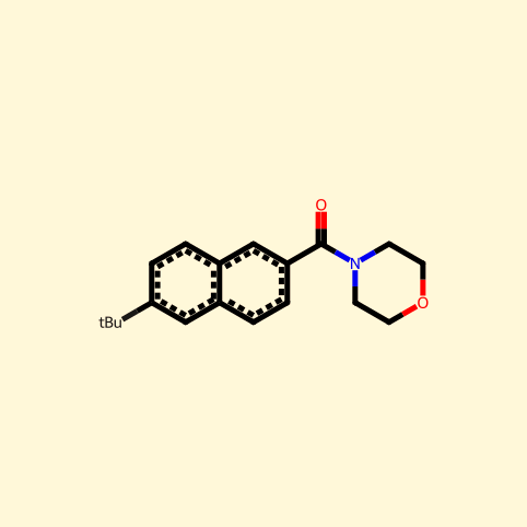 CC(C)(C)c1ccc2cc(C(=O)N3CCOCC3)ccc2c1